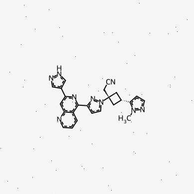 Cn1nccc1[C@H]1C[C@@](CC#N)(n2ccc(-c3nc(-c4cn[nH]c4)cc4ncccc34)n2)C1